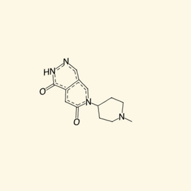 CN1CCC(n2cc3cn[nH]c(=O)c3cc2=O)CC1